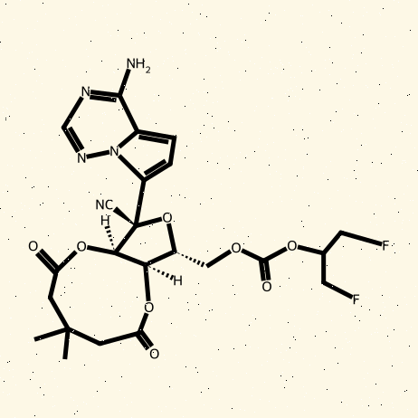 CC1(C)CC(=O)O[C@H]2[C@@H](OC(=O)C1)[C@](C#N)(c1ccc3c(N)ncnn13)O[C@@H]2COC(=O)OC(CF)CF